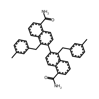 Cc1cccc(Cc2c(-c3ccc4c(C(N)=O)cccc4c3Cc3cccc(C)c3)ccc3c(C(N)=O)cccc23)c1